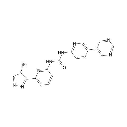 CC(C)n1cnnc1-c1cccc(NC(=O)Nc2ccc(-c3cncnc3)cn2)n1